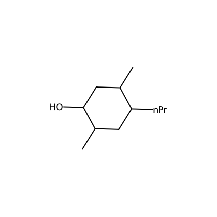 CCCC1CC(C)C(O)CC1C